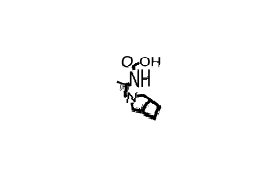 C[C@H](CN1CC2CCC2C1)NC(=O)O